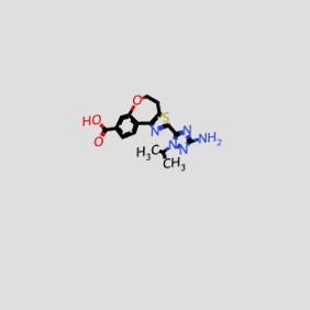 CC(C)n1nc(N)nc1-c1nc2c(s1)CCOc1cc(C(=O)O)ccc1-2